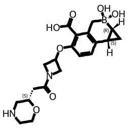 O=C(O)c1c(OC2CN(C(=O)C[C@H]3CNCCO3)C2)ccc2c1C[B-](O)(O)[C@@H]1C[C@H]21